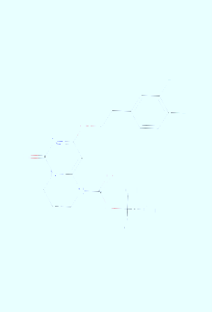 CC(C)(C)OC(=O)N1CCCn2c1cc(OCCc1ccc(F)c(F)c1)nc2=O